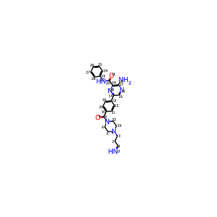 N=CCCN1CCN(C(=O)c2ccc(-c3cnc(N)c(C(=O)Nc4ccccc4)n3)cc2)CC1